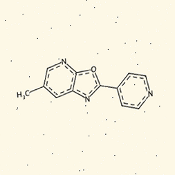 Cc1cnc2oc(-c3ccncc3)nc2c1